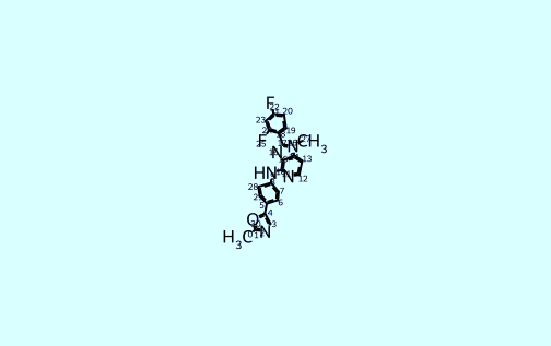 Cc1ncc(-c2ccc(Nc3nccc4c3nc(-c3ccc(F)cc3F)n4C)cc2)o1